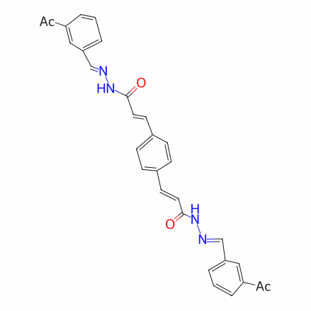 CC(=O)c1cccc(/C=N/NC(=O)/C=C/c2ccc(/C=C/C(=O)N/N=C/c3cccc(C(C)=O)c3)cc2)c1